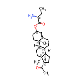 CC[C@H](N)C(=O)O[C@H]1C=C2CC[C@H]3[C@@H]4CC[C@H](C(C)=O)[C@@]4(C)CC[C@@H]3[C@@]2(C)CC1